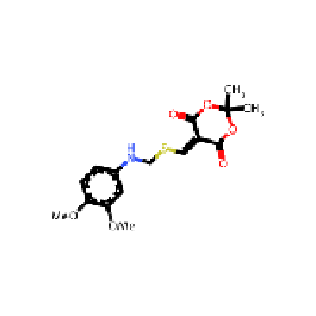 COc1ccc(NCSC=C2C(=O)OC(C)(C)OC2=O)cc1OC